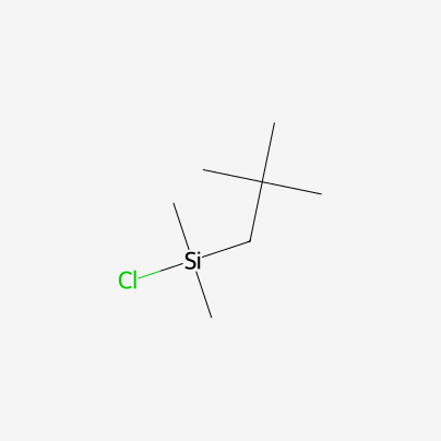 CC(C)(C)C[Si](C)(C)Cl